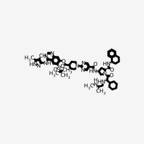 CN[C@@H](C)CN[C@H](C(=O)N1C[C@@H](NC(=O)c2cnc(N3CCC(COc4cc5ncnc(Nc6n[nH]c(C)c6C)c5cc4S(=O)(=O)C(C)(C)C)CC3)nc2)C[C@H]1C(=O)N[C@@H]1CCCc2ccccc21)C1CCCCC1